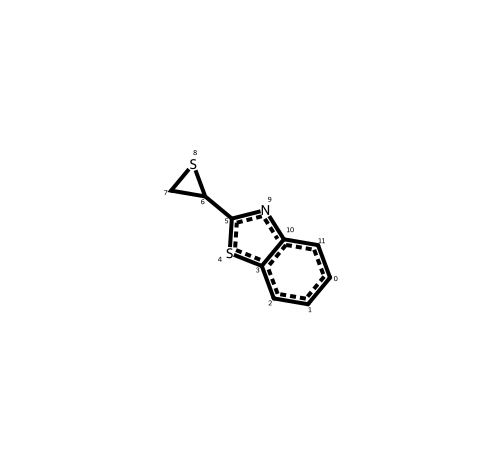 c1ccc2sc(C3CS3)nc2c1